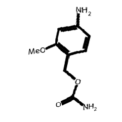 COc1cc(N)ccc1COC(N)=O